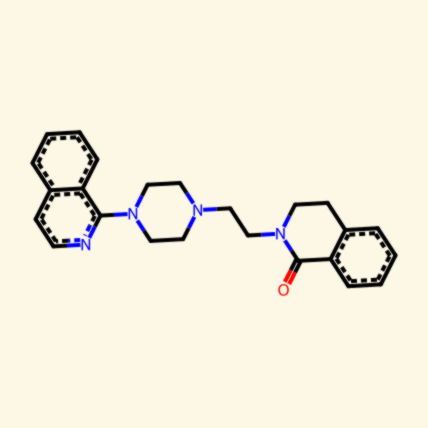 O=C1c2ccccc2CCN1CCN1CCN(c2nccc3ccccc23)CC1